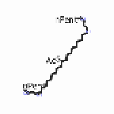 CCCCC/C=C\C/C=C\CCCCCCCCC(CCCCCCCC/C=C\C/C=C\CCCCC)SC(C)=O